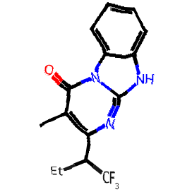 CCC(c1nc2[nH]c3ccccc3n2c(=O)c1C)C(F)(F)F